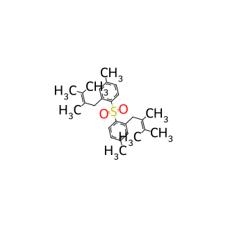 CC(C)=C(C)Cc1cc(C)ccc1S(=O)(=O)c1ccc(C)cc1CC(C)=C(C)C